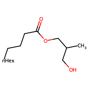 CCCCCCCCCC(=O)OCC(C)CO